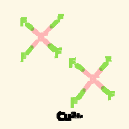 F[B-](F)(F)F.F[B-](F)(F)F.[Cu+2]